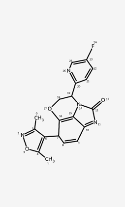 Cc1noc(C)c1C1C=CC2=NC(=O)N3C2=C1OCC3c1ccc(F)cn1